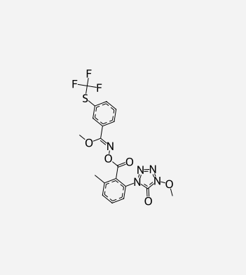 COC(=NOC(=O)c1c(C)cccc1-n1nnn(OC)c1=O)c1cccc(SC(F)(F)F)c1